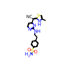 CC1=CS/C(=C(\C#N)c2ccnc(NCCc3ccc(S(N)(=O)=O)cc3)n2)N1